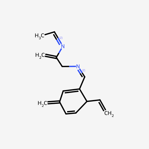 C=CC1C=CC(=C)C=C1/C=N\CC(=C)/N=C\C